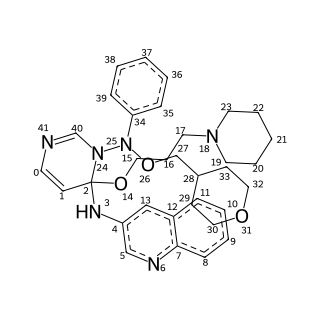 C1=CC(Nc2cnc3ccccc3c2)(OCCCN2CCCCC2)N(N(OCC2CCOCC2)c2ccccc2)C=N1